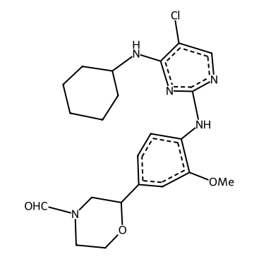 COc1cc(C2CN(C=O)CCO2)ccc1Nc1ncc(Cl)c(NC2CCCCC2)n1